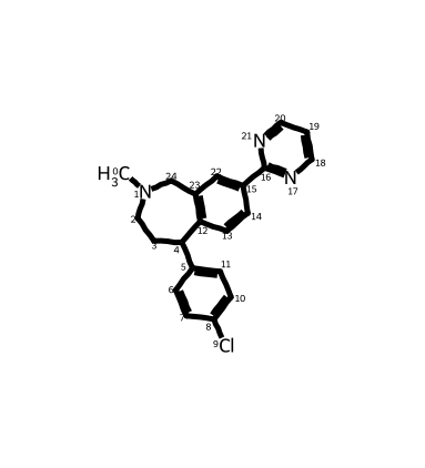 CN1CCC(c2ccc(Cl)cc2)c2ccc(-c3ncccn3)cc2C1